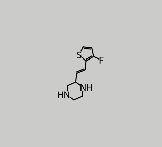 Fc1ccsc1C=CC1CNCCN1